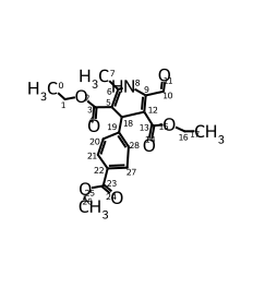 CCOC(=O)C1=C(C)NC(C=O)=C(C(=O)OCC)C1c1ccc(C(=O)OC)cc1